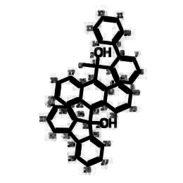 CC(O)(c1ccccc1-c1ccccc1)c1c2ccccc2c(C2(O)c3ccccc3-c3ccccc32)c2ccccc12